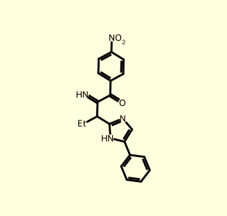 CCC(C(=N)C(=O)c1ccc([N+](=O)[O-])cc1)c1ncc(-c2ccccc2)[nH]1